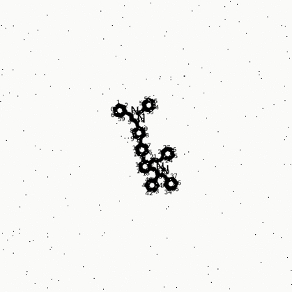 c1ccc(-c2cc(-c3ccc(-c4ccc(-c5cccc6c5cc(-c5ccccc5)n5nc(-c7ccccc7)c(-c7ccccc7)c65)cc4)cc3)nc(-c3ccccc3)n2)cc1